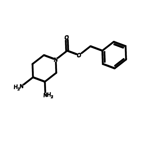 NC1CCN(C(=O)OCc2ccccc2)CC1N